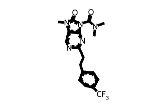 CN(C)C(=O)n1c(=O)n(C)c2cnc(CCc3ccc(C(F)(F)F)cc3)nc21